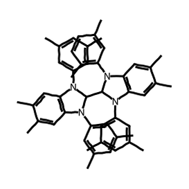 Cc1cc(C)cc(N2c3cc(C)c(C)cc3N(c3cc(C)cc(C)c3)C2C2N(c3cc(C)cc(C)c3)c3cc(C)c(C)cc3N2c2cc(C)ccc2C)c1